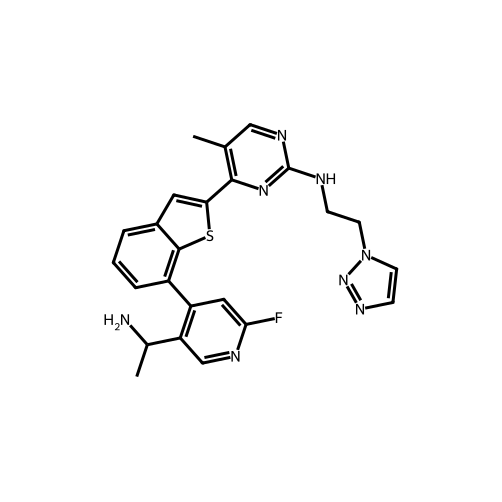 Cc1cnc(NCCn2ccnn2)nc1-c1cc2cccc(-c3cc(F)ncc3C(C)N)c2s1